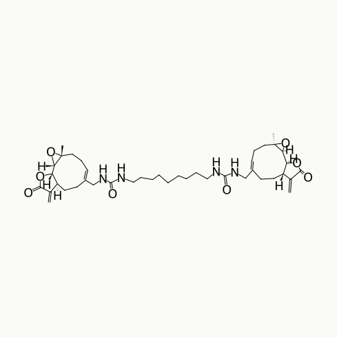 C=C1C(=O)O[C@H]2[C@H]1CC/C(CNC(=O)NCCCCCCCCCNC(=O)NC/C1=C/CC[C@@]3(C)O[C@H]3[C@H]3OC(=O)C(=C)[C@@H]3CC1)=C\CC[C@@]1(C)O[C@@H]21